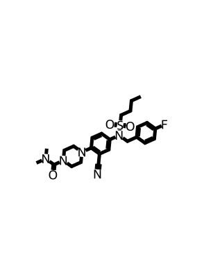 CCCCS(=O)(=O)N(Cc1ccc(F)cc1)c1ccc(N2CCN(C(=O)N(C)C)CC2)c(C#N)c1